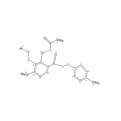 COC(=O)COc1c(C(=O)CCc2ccc(OC)cc2)ccc(OC)c1CCC(C)C